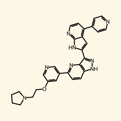 c1cc(-c2ccnc3[nH]c(-c4n[nH]c5ccc(-c6cncc(OCCN7CCCC7)c6)nc45)cc23)ccn1